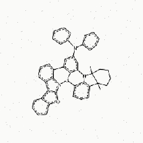 CC12CCCCC1(C)N1c3cc(N(c4ccccc4)c4ccccc4)cc4c3B(c3cccc2c31)n1c2oc3ccccc3c2c2cccc-4c21